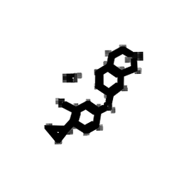 Cl.Fc1cc(Oc2ccc3c(c2)CNCC3)ccc1C1CC1